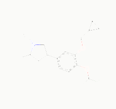 CCC1CC(c2ccc(OC(F)F)c(OCC3CC3)c2)CN1C(C)=O